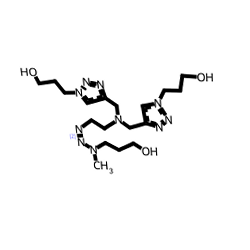 CN(CCCO)/N=N\CCN(Cc1cn(CCCO)nn1)Cc1cn(CCCO)nn1